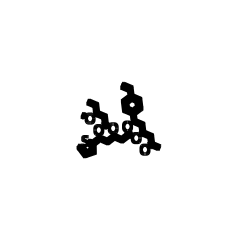 C=Cc1ccc(CCC(CC(C)=O)OC(=O)CC(CCc2cccs2)OC(=O)CC(CC)OC)cc1